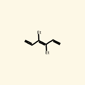 C=C/C(CC)=C(/C=C)CC